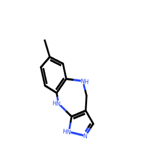 Cc1ccc2c(c1)NCc1cn[nH]c1N2